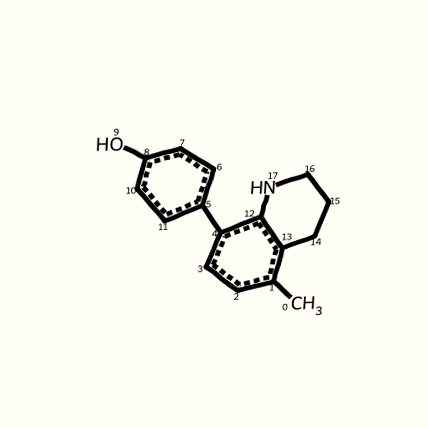 Cc1ccc(-c2ccc(O)cc2)c2c1CCCN2